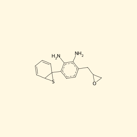 Nc1c(CC2CO2)ccc(C23C=CC=CC2S3)c1N